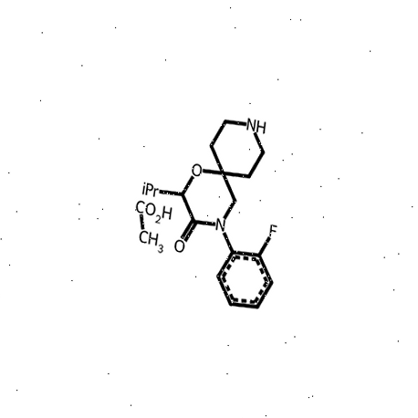 CC(=O)O.CC(C)C1OC2(CCNCC2)CN(c2ccccc2F)C1=O